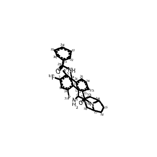 NC(Cc1cc(F)c(F)cc1F)C1CC2CCC(C1)N2C(=O)c1cccc(CNC(=O)c2ccccc2)c1